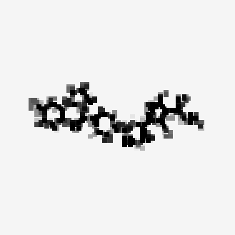 Cc1nn(-c2cc(N3CCN(C(=O)N4N=CC[C@H]4C4C=NC=C(F)C4)CC3)ncn2)c(C)c1C(N)=O